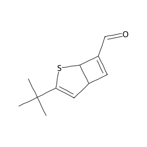 CC(C)(C)C1=CC2C=C(C=O)C2S1